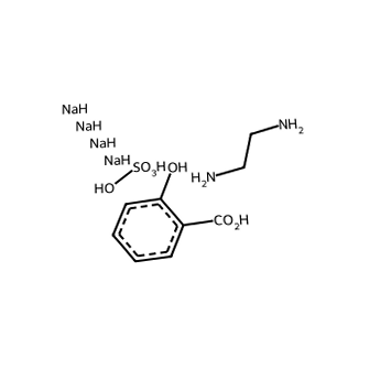 NCCN.O=C(O)c1ccccc1O.O=S(=O)(O)O.[NaH].[NaH].[NaH].[NaH]